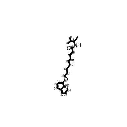 CC(C)C(C)NC(=O)C=CC=CCCCCOc1cccc2cccnc12